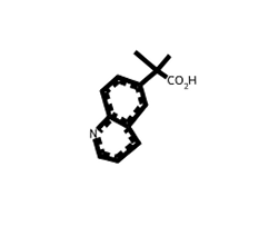 CC(C)(C(=O)O)c1ccc2ncccc2c1